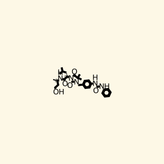 CC(C)C[C@@H](C(=O)N[C@H](C)CCO)N1C(=O)N(Cc2ccc(NC(=O)Nc3ccccc3)cc2)C(C)(C)C1=O